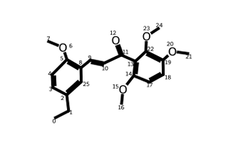 CCc1ccc(OC)c(C=CC(=O)c2c(OC)ccc(OC)c2OC)c1